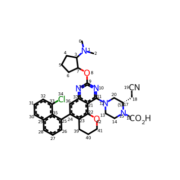 CN(C)C1CCCC1Oc1nc(N2CCN(C(=O)O)[C@@H](CC#N)C2)c2c3c(c(-c4cccc5cccc(Cl)c45)cc2n1)CCCO3